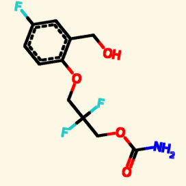 NC(=O)OCC(F)(F)COc1ccc(F)cc1CO